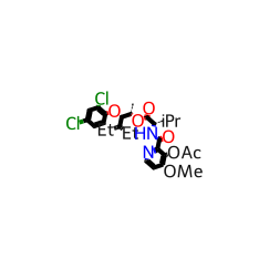 CCC(CC)[C@@H](Oc1ccc(Cl)cc1Cl)[C@H](C)OC(=O)[C@@H](NC(=O)c1nccc(OC)c1OC(C)=O)C(C)C